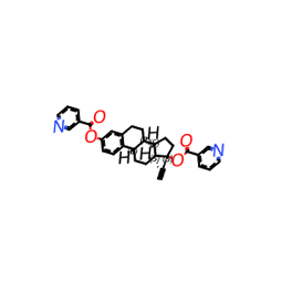 C#C[C@]1(OC(=O)c2cccnc2)CC[C@H]2[C@@H]3CCc4cc(OC(=O)c5cccnc5)ccc4[C@H]3CC[C@@]21C